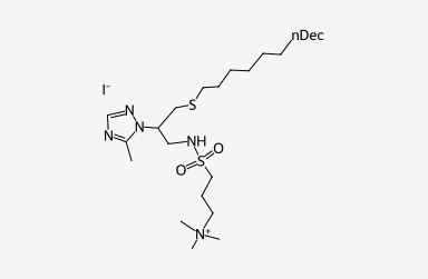 CCCCCCCCCCCCCCCCSCC(CNS(=O)(=O)CCC[N+](C)(C)C)n1ncnc1C.[I-]